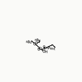 CCCC/C=C\CCOC(CCCCC(=O)OCC(CO)COC(=O)CCCCCCC/C=C\C/C=C\CCCCC)OCC/C=C\CCCC